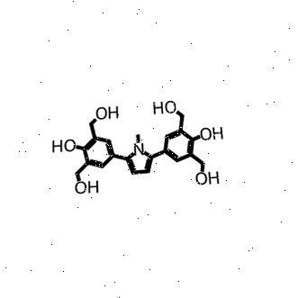 Cn1c(-c2cc(CO)c(O)c(CO)c2)ccc1-c1cc(CO)c(O)c(CO)c1